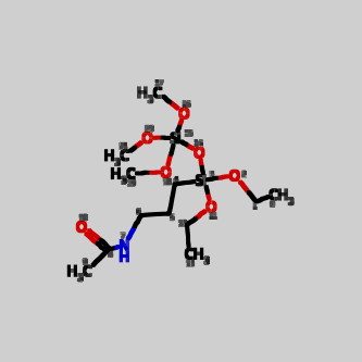 CCO[Si](CCCNC(C)=O)(OCC)O[Si](OC)(OC)OC